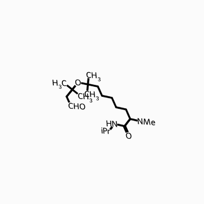 CNC(CCCCCC(C)(C)OC(C)(C)CC=O)C(=O)NC(C)C